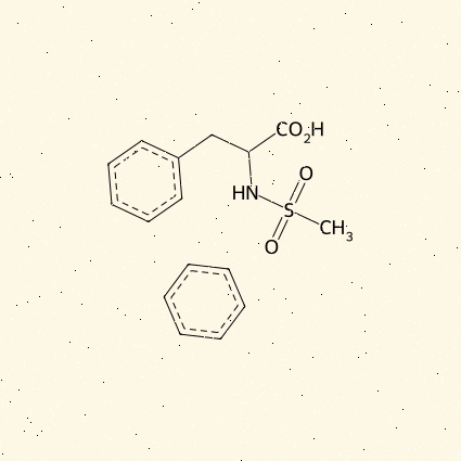 CS(=O)(=O)NC(Cc1ccccc1)C(=O)O.c1ccccc1